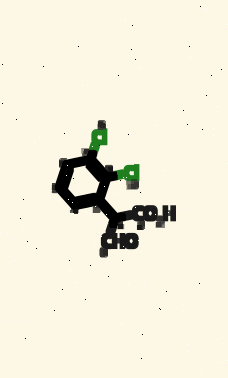 O=CC(C(=O)O)c1cccc(Cl)c1Cl